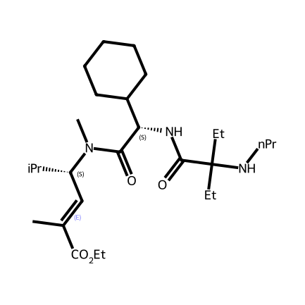 CCCNC(CC)(CC)C(=O)N[C@H](C(=O)N(C)[C@H](/C=C(\C)C(=O)OCC)C(C)C)C1CCCCC1